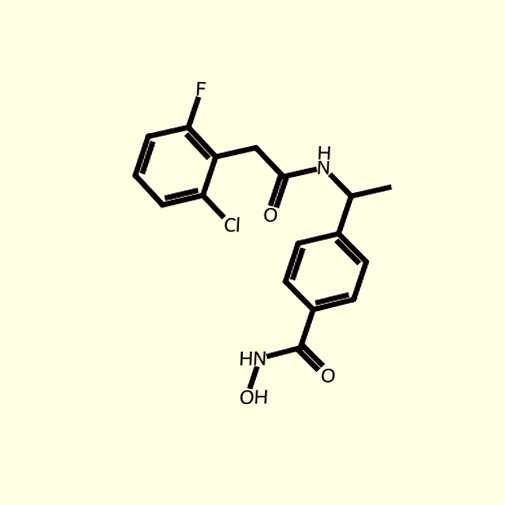 CC(NC(=O)Cc1c(F)cccc1Cl)c1ccc(C(=O)NO)cc1